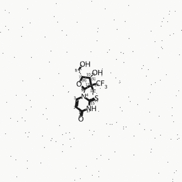 O=c1ccn([C@@H]2O[C@H](CO)[C@H](O)C2(F)C(F)(F)F)c(=S)[nH]1